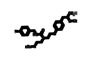 CCCCSCCN(CCOc1ccc(CC(OCC)C(=O)O)cc1)C(=O)NCc1ccc(F)cc1